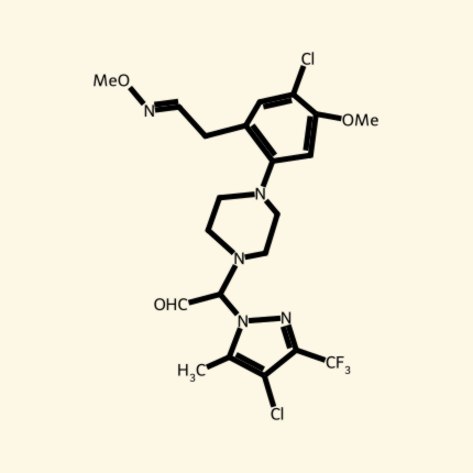 CON=CCc1cc(Cl)c(OC)cc1N1CCN(C(C=O)n2nc(C(F)(F)F)c(Cl)c2C)CC1